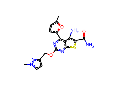 Cc1ccc(-c2nc(OCc3ccn(C)n3)nc3sc(C(N)=O)c(N)c23)o1